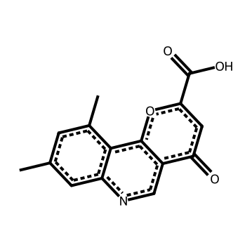 Cc1cc(C)c2c(c1)ncc1c(=O)cc(C(=O)O)oc12